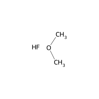 COC.F